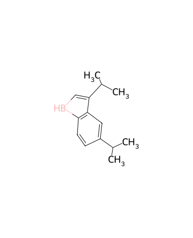 CC(C)C1=CBc2ccc(C(C)C)cc21